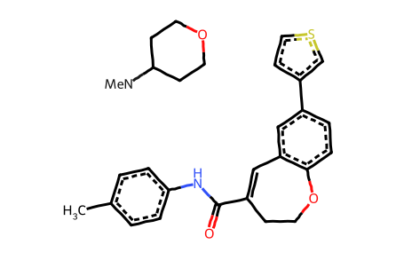 CNC1CCOCC1.Cc1ccc(NC(=O)C2=Cc3cc(-c4ccsc4)ccc3OCC2)cc1